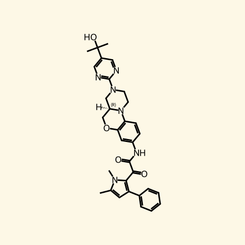 Cc1cc(-c2ccccc2)c(C(=O)C(=O)Nc2ccc3c(c2)OC[C@H]2CN(c4ncc(C(C)(C)O)cn4)CCN32)n1C